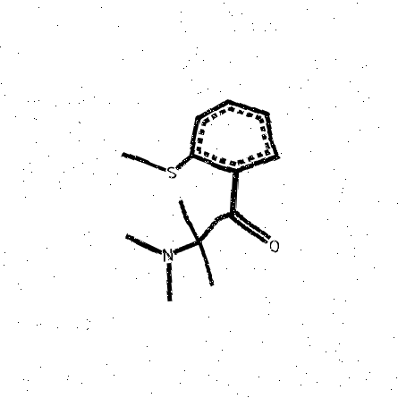 CSc1ccccc1C(=O)C(C)(C)N(C)C